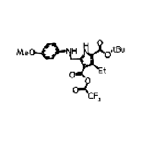 CCc1c(C(=O)OC(C)(C)C)[nH]c(CNc2ccc(OC)cc2)c1C(=O)OC(=O)C(F)(F)F